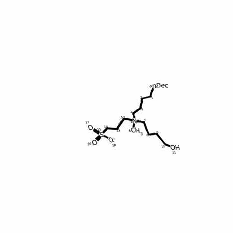 CCCCCCCCCCCCCC[N+](C)(CCCCO)CCCS(=O)(=O)[O-]